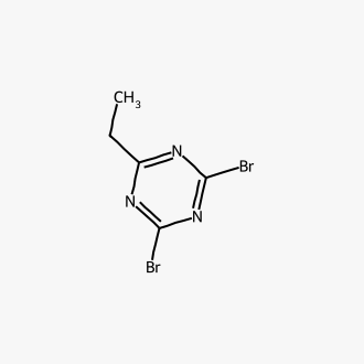 CCc1nc(Br)nc(Br)n1